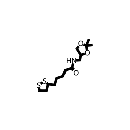 CC1(C)OCC(CNC(=O)CCCCC2CCSS2)O1